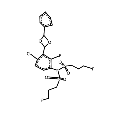 O=S(=O)(CCCF)N(c1ccc(Cl)c(C2OC(c3ccccc3)O2)c1F)S(=O)(=O)CCCF